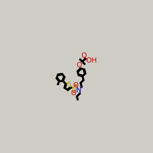 CCCN(CCCc1ccc(OC(C)(C)C(=O)O)cc1)S(=O)(=O)c1ccc(-c2ccccc2C)s1